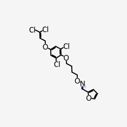 ClC(Cl)=CCOc1cc(Cl)c(OCCCCO/N=C/c2ccco2)c(Cl)c1